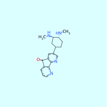 CN[C@@H]1CCC(c2cnc3c(c2)C(=O)c2cccnc2-3)C[C@H]1NC